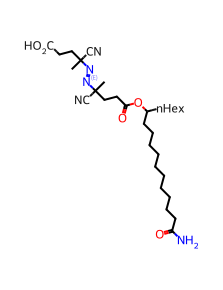 CCCCCCC(CCCCCCCCCCC(N)=O)OC(=O)CCC(C)(C#N)/N=N/C(C)(C#N)CCC(=O)O